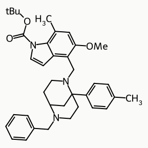 COc1cc(C)c2c(ccn2C(=O)OC(C)(C)C)c1CN1CCC2CC1(c1ccc(C)cc1)CCN2Cc1ccccc1